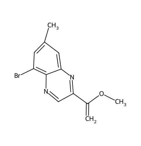 C=C(OC)c1cnc2c(Br)cc(C)cc2n1